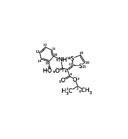 CC(C)OC(=O)C(C(=O)Nc1ccccc1O)=C1SC=CS1